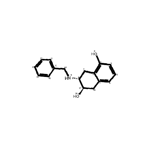 Oc1cccc2c1C[C@@H](NCc1ccccc1)[C@H](O)C2